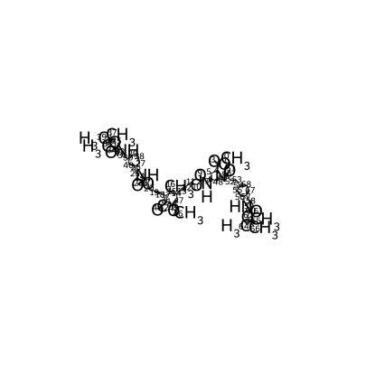 COC(=O)C1CC(NC(=O)OCC#CC2=C(C)C(C#CCOC(=O)NCc3cccc(CNC(=O)OC(C)(C)C)c3)C(=C=O)C(OC)=C2)CN1C(=O)CCc1ccc(CNC(=O)OC(C)(C)C)cc1